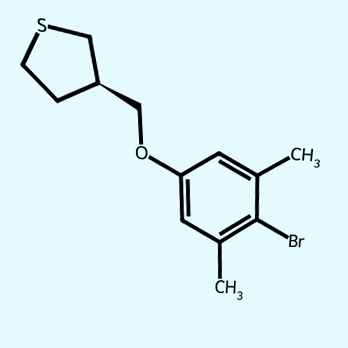 Cc1cc(OC[C@H]2CCSC2)cc(C)c1Br